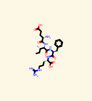 CC[C@H](C)[C@H](NC(=O)[C@@H](N)CCC(=O)O)C(=O)N[C@@H](Cc1ccccc1)C(=O)N[C@@H](CCCNC(=N)N)C(=O)O